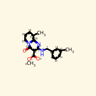 COC(=O)c1c(NCc2cccc(C)c2)nc2c(C)cccn2c1=O